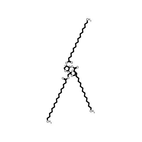 CCCCCCCCCCCCCCCCCC(=O)OCC1([C@H]2OC[C@H](OC(=O)CCCCCCCCCCCCCCCCC)[C@H]2OC(=O)CCCCCCCCCCCCCCCCC)OCCO1